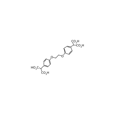 O=C(O)C(C(=O)O)c1ccc(OCCOc2ccc(C(C(=O)O)C(=O)O)cc2)cc1